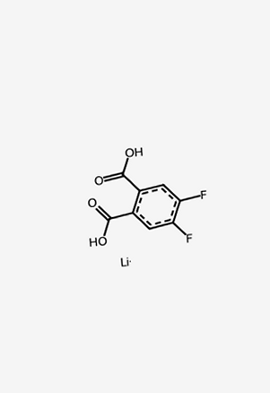 O=C(O)c1cc(F)c(F)cc1C(=O)O.[Li]